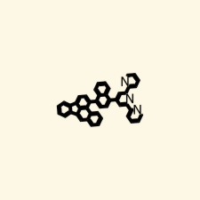 c1ccc(-c2cc(-c3ccc(-c4ccc5c6c(cc7ccccc7c46)-c4ccccc4-5)c4ccccc34)cc(-c3ccccn3)n2)nc1